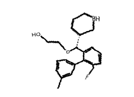 Cc1cccc(-c2c(F)cccc2C(OCCO)[C@H]2CBCCC2)c1